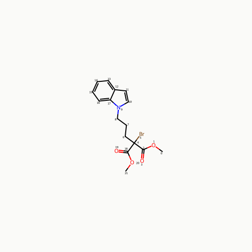 COC(=O)C(Br)(CCCn1ccc2ccccc21)C(=O)OC